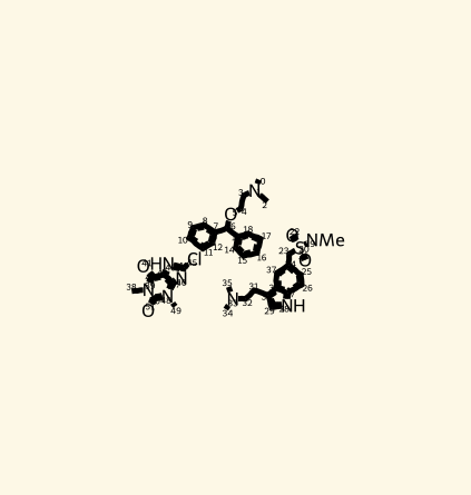 CN(C)CCOC(c1ccccc1)c1ccccc1.CNS(=O)(=O)Cc1ccc2[nH]cc(CCN(C)C)c2c1.Cn1c(=O)c2[nH]c(Cl)nc2n(C)c1=O